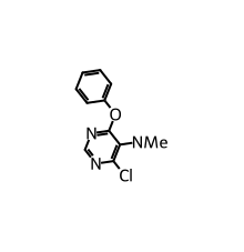 CNc1c(Cl)ncnc1Oc1ccccc1